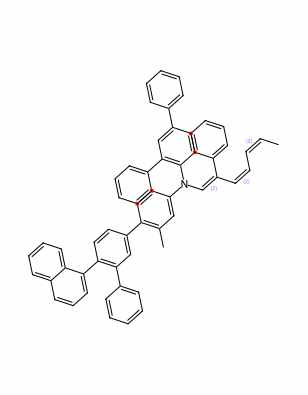 C\C=C/C=C\C(=C\N(c1ccc(-c2ccc(-c3cccc4ccccc34)c(-c3ccccc3)c2)c(C)c1)c1ccc(-c2ccccc2)cc1-c1ccccc1)c1ccccc1